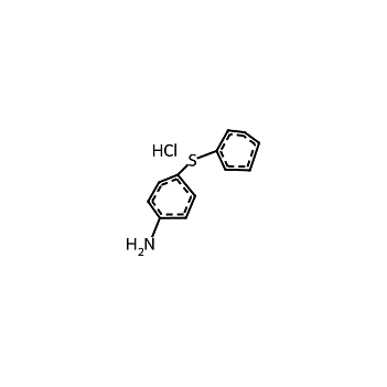 Cl.Nc1ccc(Sc2ccccc2)cc1